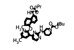 CCCS(=O)(=O)Nc1cccc2c(Oc3ncc(C)cc3-c3ccnc(N[C@H]4CCCN(C(=O)OC(C)(C)C)C4)n3)c(C)ccc12